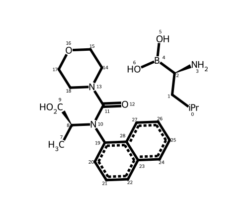 CC(C)C[C@H](N)B(O)O.C[C@@H](C(=O)O)N(C(=O)N1CCOCC1)c1cccc2ccccc12